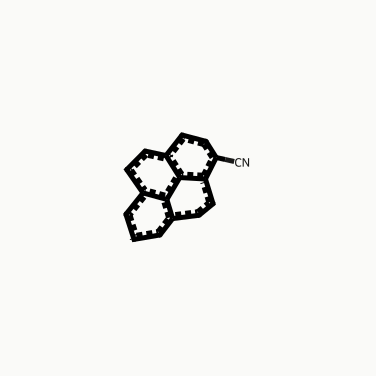 N#Cc1ccc2ccc3c[c]cc4ccc1c2c34